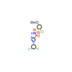 COc1ccc(Cl)c(S(=O)(=O)NC(=O)c2cn(-c3cc(F)cc(F)c3)cn2)c1